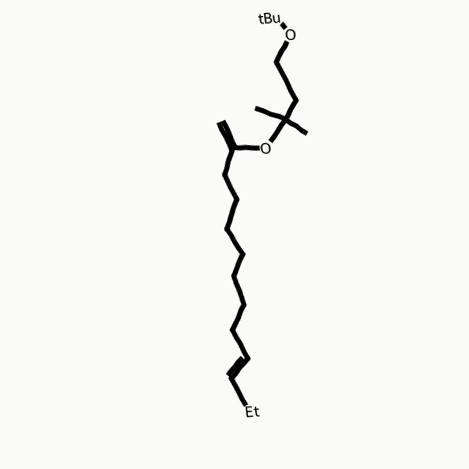 C=C(CCCCCCC/C=C/CC)OC(C)(C)CCOC(C)(C)C